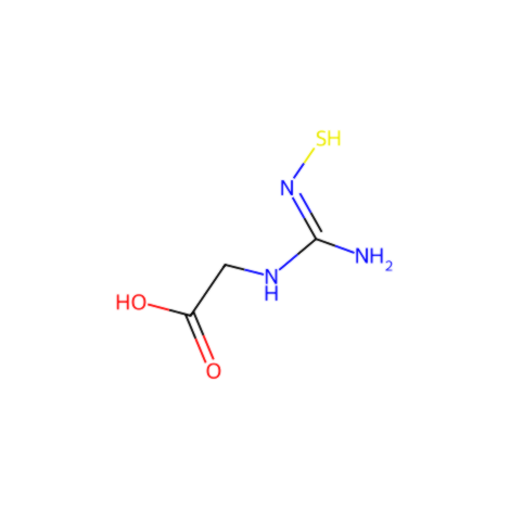 NC(=NS)NCC(=O)O